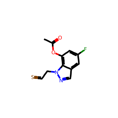 CC(=O)Oc1cc(F)cc2cnn(CC=S)c12